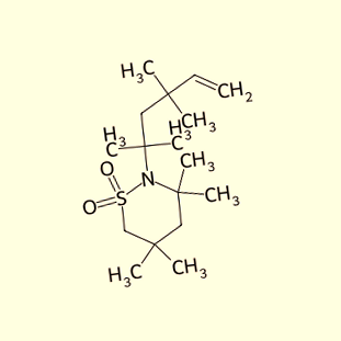 C=CC(C)(C)CC(C)(C)N1C(C)(C)CC(C)(C)CS1(=O)=O